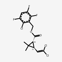 CC1(C)[C@H](C=C(Cl)Cl)[C@H]1C(=O)OCc1c(F)c(F)cc(F)c1Cl